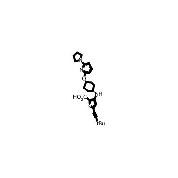 CC(C)(C)C#Cc1cc(N[C@H]2CC[C@H](Oc3cccc(N4CCCC4)n3)CC2)c(C(=O)O)s1